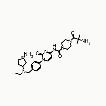 CCN(Cc1ccc(-n2ccc(NC(=O)N3CCN(C(=O)C(C)(C)N)CC3)nc2=O)cc1)C1CC[C@@H](N)C1